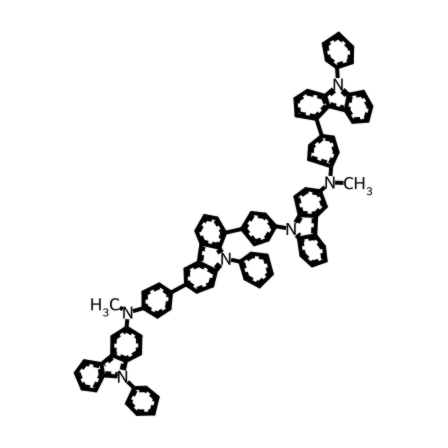 CN(c1ccc(-c2ccc3c(c2)c2cccc(-c4ccc(-n5c6ccccc6c6cc(N(C)c7ccc(-c8cccc9c8c8ccccc8n9-c8ccccc8)cc7)ccc65)cc4)c2n3-c2ccccc2)cc1)c1ccc2c(c1)c1ccccc1n2-c1ccccc1